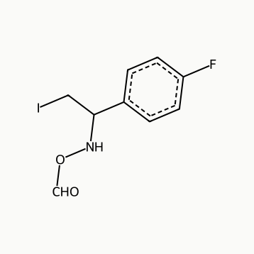 O=CONC(CI)c1ccc(F)cc1